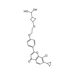 O=c1cc(-c2ccc(OCCOC3CC(C(O)O)C3)cc2)oc2c(Cl)c(C3CC3)ccc12